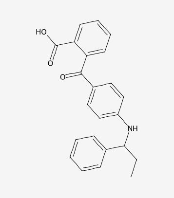 CCC(Nc1ccc(C(=O)c2ccccc2C(=O)O)cc1)c1ccccc1